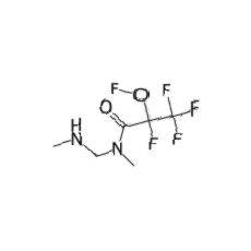 CNCN(C)C(=O)C(F)(OF)C(F)(F)F